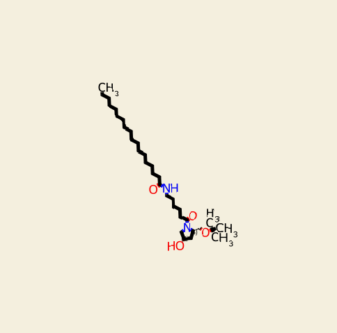 CCCCCCCCCCCCCCCCCC(=O)NCCCCCC(=O)N1C[C@H](O)C[C@H]1COC(C)(C)C